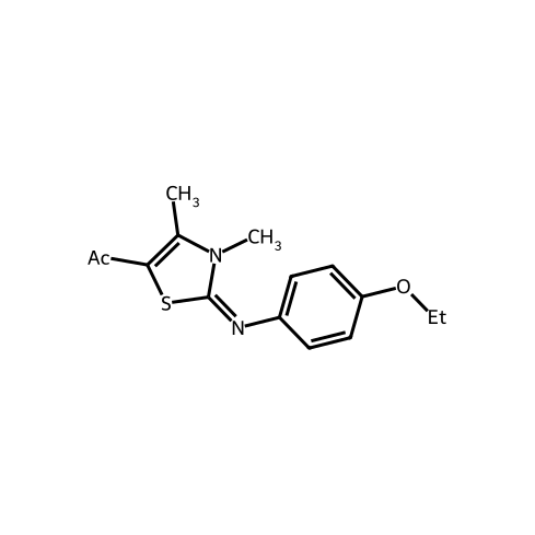 CCOc1ccc(/N=c2/sc(C(C)=O)c(C)n2C)cc1